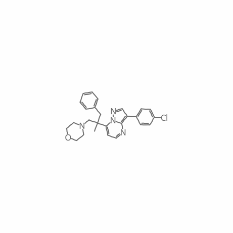 CC(Cc1ccccc1)(CN1CCOCC1)c1ccnc2c(-c3ccc(Cl)cc3)cnn12